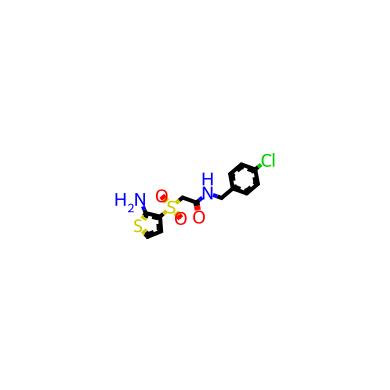 Nc1sccc1S(=O)(=O)CC(=O)NCc1ccc(Cl)cc1